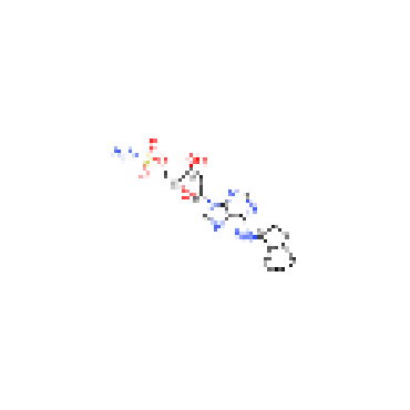 NS(=O)(=O)OC[C@H]1O[C@@H](n2cnc3c(N[C@H]4CCc5ccccc54)ncnc32)C[C@@H]1O